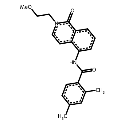 COCCn1ccc2c(NC(=O)c3ccc(C)cc3C)cccc2c1=O